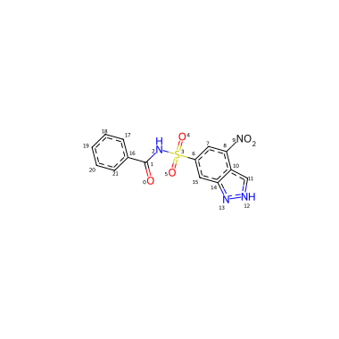 O=C(NS(=O)(=O)c1cc([N+](=O)[O-])c2c[nH]nc2c1)c1ccccc1